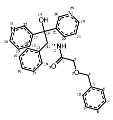 O=C(COCc1ccccc1)N[C@H](c1ccccc1)C(O)(c1cccnc1)c1cccnc1